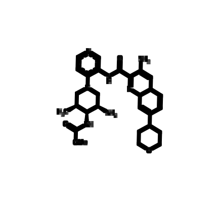 COC(=O)N[C@@H]1[C@H](N)CN(c2ccncc2NC(=O)C2=NC3C=C(C4CCOCC4)C=CC3C=C2N)C[C@@H]1C